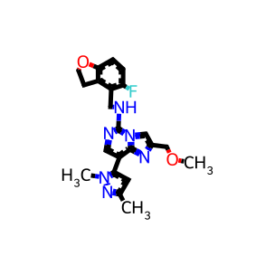 COCc1cn2c(NCc3c(F)ccc4c3CCO4)ncc(-c3cc(C)nn3C)c2n1